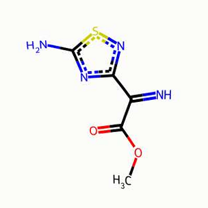 COC(=O)C(=N)c1nsc(N)n1